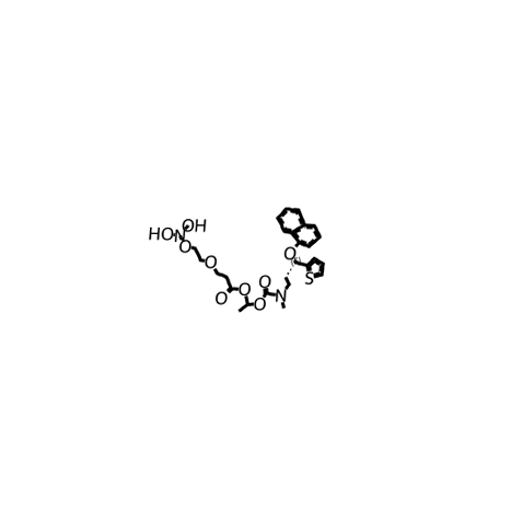 CC(OC(=O)CCOCCON(O)O)OC(=O)N(C)CC[C@H](Oc1cccc2ccccc12)c1cccs1